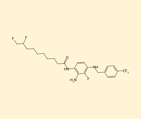 Nc1c(NC(=O)CCCCCCCC(F)CF)ccc(NCc2ccc(C(F)(F)F)cc2)c1F